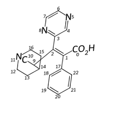 O=C(O)C(=C(c1cnccn1)C1CN2CCC1CC2)c1ccccc1